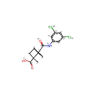 CC1(C(=O)O)CCC1(C)C(=O)Nc1cc(Cl)cc(Cl)c1